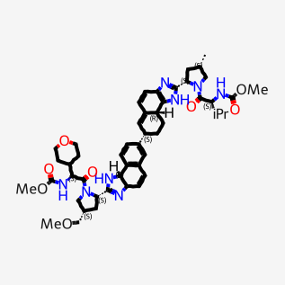 COC[C@H]1C[C@@H](C2=NC3C=Cc4cc([C@@H]5C=C6C=Cc7nc([C@@H]8C[C@H](C)CN8C(=O)[C@@H](NC(=O)OC)C(C)C)[nH]c7[C@@H]6CC5)ccc4[C@H]3N2)N(C(=O)[C@@H](NC(=O)OC)C2CCOCC2)C1